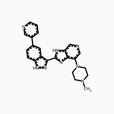 CN1CCN(c2cncc3[nH]c(-c4n[nH]c5ccc(-c6cccnc6)cc45)nc23)CC1